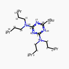 CC(C)CCN(CCC(C)C)c1nc(N(CCC(C)C)CCC(C)C)nc(C(C)(C)C)n1